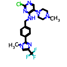 CN1CCN(c2cnc(Cl)nc2NCc2ccc(-c3nc(C(F)(F)F)cn3C)cc2)CC1